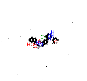 C[C@H](C(=O)NC1(CO)CCc2ccccc21)N1Cc2ccc(-c3nc(NC4CCOCC4)ncc3Cl)cc2C1=O